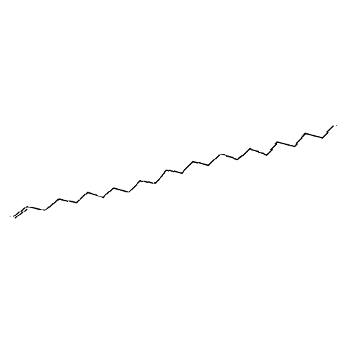 [CH]=CCCCCCCCCCCCCCCCCCCCCC[CH2]